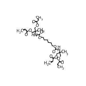 C=CC(=O)OCC(C)(COC(=O)C=C)NC(=O)OCCCCCCOC(=O)NC(C)(COC(=O)C=C)COC(=O)C=C